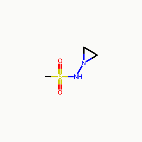 CS(=O)(=O)NN1CC1